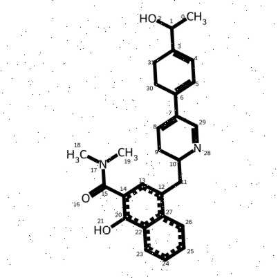 CC(O)C1=CC=C(C2=CCC(Cc3cc(C(=O)N(C)C)c(O)c4ccccc34)N=C2)CC1